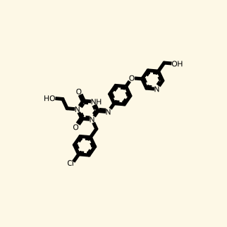 O=c1[nH]/c(=N\c2ccc(Oc3cncc(CO)c3)cc2)n(Cc2ccc(Cl)cc2)c(=O)n1CCO